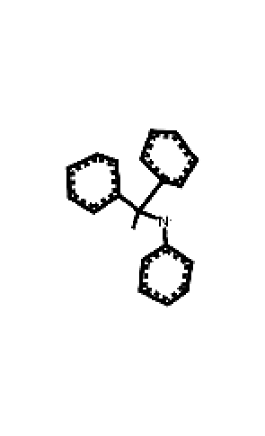 CC([N]c1ccccc1)(c1ccccc1)c1ccccc1